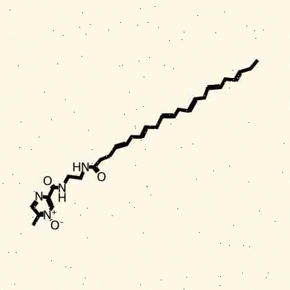 CCC=CCC=CCC=CCC=CCC=CCC=CCCC(=O)NCCNC(=O)c1c[n+]([O-])c(C)cn1